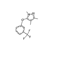 Cc1nn(C)c(Oc2cccc(C(F)(F)F)c2)c1C